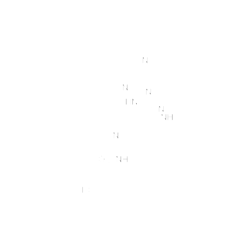 CCCCC(=O)Nc1cncc(-c2ccc3[nH]nc(-c4nc5c(-c6ccccn6)ccnc5[nH]4)c3c2)c1